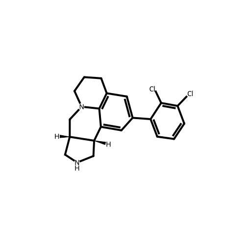 Clc1cccc(-c2cc3c4c(c2)[C@@H]2CNC[C@@H]2CN4CCC3)c1Cl